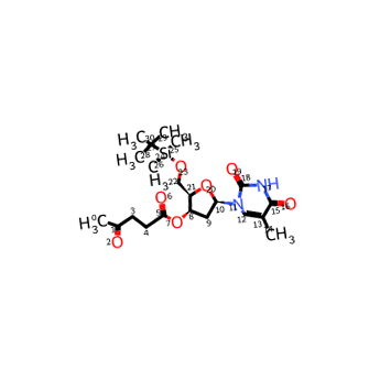 CC(=O)CCC(=O)O[C@@H]1C[C@H](n2cc(C)c(=O)[nH]c2=O)O[C@@H]1CO[Si](C)(C)C(C)(C)C